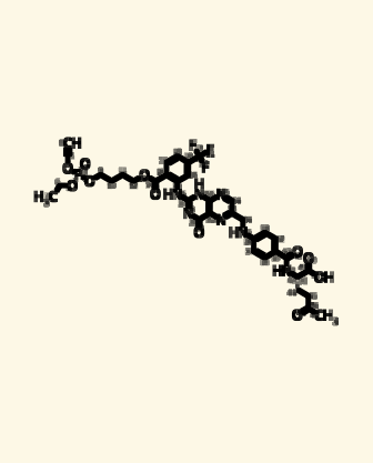 C#COP(=O)(OCC)OCCCCOC(=O)c1ccc(C(F)(F)F)cc1Nc1nc(=O)c2nc(CNc3ccc(C(=O)N[C@@H](CCC(C)=O)C(=O)O)cc3)cnc2[nH]1